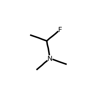 CC(F)N(C)C